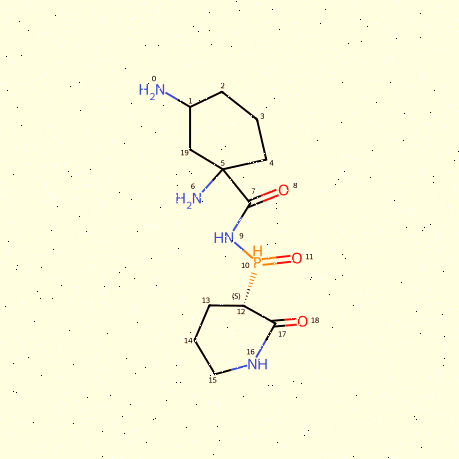 NC1CCCC(N)(C(=O)N[PH](=O)[C@H]2CCCNC2=O)C1